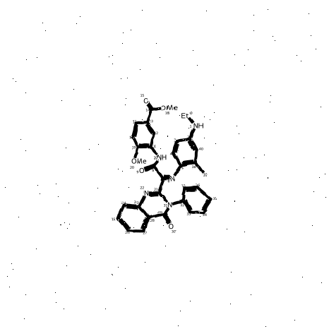 CCNc1ccc(/N=C(\C(=O)Nc2cc(C(=O)OC)ccc2OC)c2nc3ccccc3c(=O)n2-c2ccccc2)c(C)c1